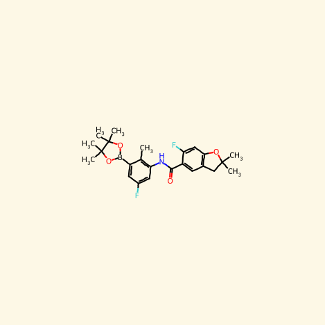 Cc1c(NC(=O)c2cc3c(cc2F)OC(C)(C)C3)cc(F)cc1B1OC(C)(C)C(C)(C)O1